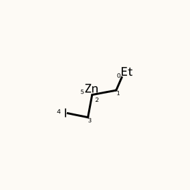 CCCCCI.[Zn]